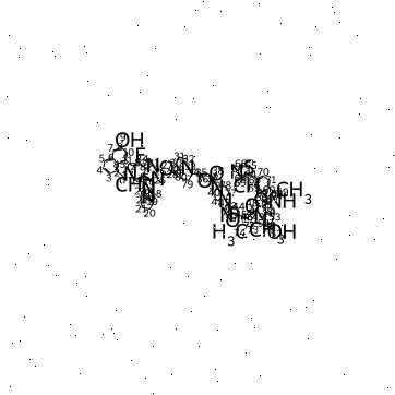 CCc1cccc2cc(O)cc(-c3ncc4c(N5CC6CCC(C5)N6)nc(OC[C@@]56CCCN5C(COC(=O)N5CCN(c7cc([C@H](C(=O)N8C[C@H](O)C[C@H]8C(=O)N[C@@H](C)c8ccc(-c9scnc9C)cc8)C(C)C)on7)CC5)CC6)nc4c3F)c12